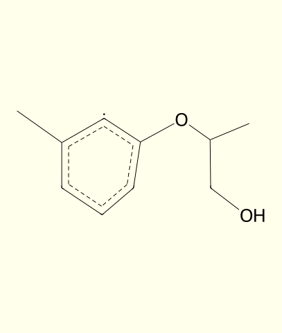 Cc1[c]c(OC(C)CO)ccc1